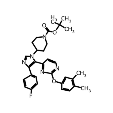 Cc1ccc(Oc2nccc(-c3c(-c4ccc(F)cc4)ncn3C3CCN(C(=O)OC(C)(C)C)CC3)n2)cc1C